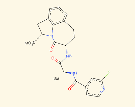 CC[C@H](C)[C@H](NC(=O)c1ccnc(F)c1)C(=O)N[C@H]1CCc2cccc3c2N(C1=O)[C@H](C(=O)O)C3